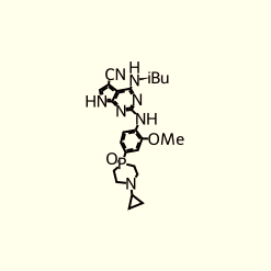 CC[C@H](C)Nc1nc(Nc2ccc(P3(=O)CCN(C4CC4)CC3)cc2OC)nc2[nH]cc(C#N)c12